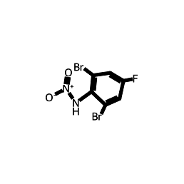 O=[N+]([O-])Nc1c(Br)cc(F)cc1Br